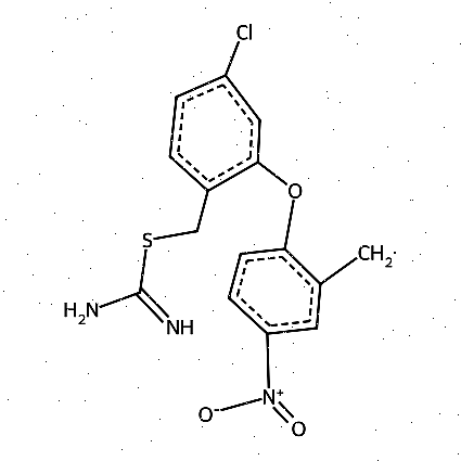 [CH2]c1cc([N+](=O)[O-])ccc1Oc1cc(Cl)ccc1CSC(=N)N